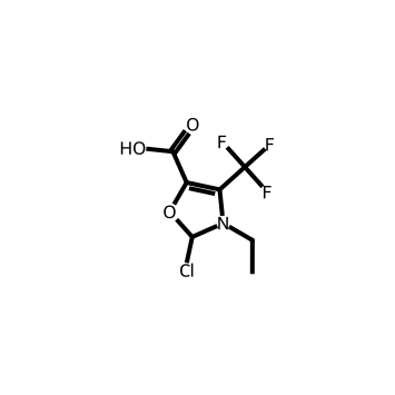 CCN1C(C(F)(F)F)=C(C(=O)O)OC1Cl